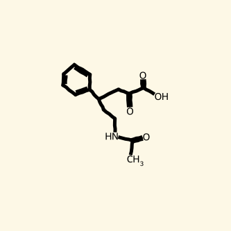 CC(=O)NCCC(CC(=O)C(=O)O)c1ccccc1